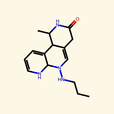 CCCNN1C=C2CC(=O)NC(C)C2C2=CC=CNC21